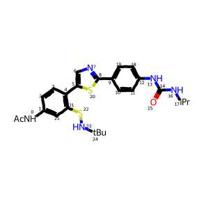 CC(=O)Nc1ccc(-c2cnc(-c3ccc(NC(=O)NC(C)C)cc3)s2)c(SNC(C)(C)C)c1